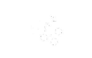 CC(O)N(C(=O)OC(C)(C)C)[C@@H](CSC(c1ccccc1)(c1ccccc1)c1ccccc1)C(=O)O